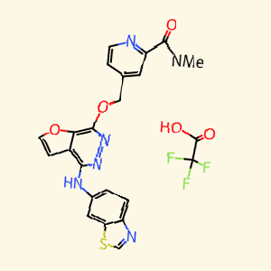 CNC(=O)c1cc(COc2nnc(Nc3ccc4ncsc4c3)c3ccoc23)ccn1.O=C(O)C(F)(F)F